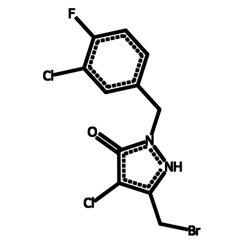 O=c1c(Cl)c(CBr)[nH]n1Cc1ccc(F)c(Cl)c1